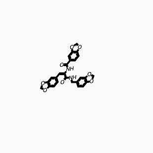 O=C(NCc1ccc2c(c1)OCO2)/C(=C\c1ccc2c(c1)OCO2)NC(=O)c1ccc2c(c1)OCO2